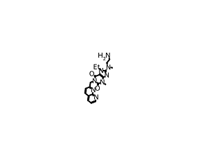 CCn1c(N(C)CCN)nc2c1c(=O)n(Cc1ccc3cccnc3n1)c(=O)n2C